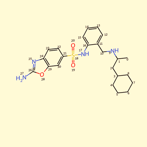 CC(CC1CCCCC1)NCc1ccccc1NS(=O)(=O)c1ccc2nc(N)oc2c1